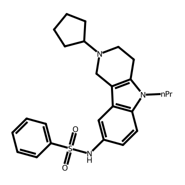 CCCn1c2c(c3cc(NS(=O)(=O)c4ccccc4)ccc31)CN(C1CCCC1)CC2